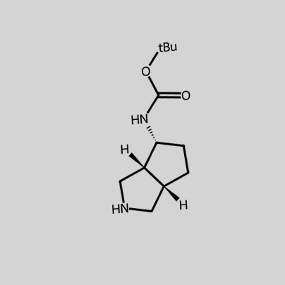 CC(C)(C)OC(=O)N[C@@H]1CC[C@@H]2CNC[C@@H]21